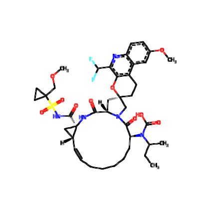 CCC(C)N(C(=O)O)[C@H]1CCCCC/C=C\[C@@H]2C[C@@]2(C(=O)NS(=O)(=O)C2(COC)CC2)NC(=O)[C@@H]2C[C@]3(CCc4c(c(C(F)F)nc5ccc(OC)cc45)O3)CN2C1=O